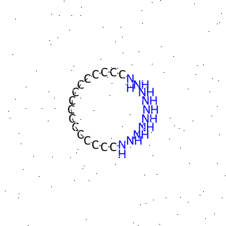 C1CCCCCCCCNNNNNNNNNNCCCCCCC1